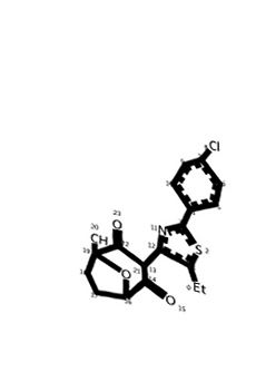 CCc1sc(-c2ccc(Cl)cc2)nc1C1C(=O)C2CCC(C)(O2)C1=O